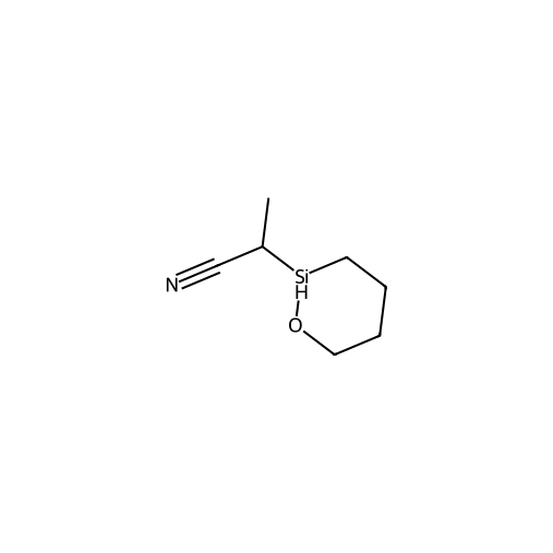 CC(C#N)[SiH]1CCCCO1